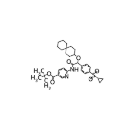 CC(C)(C)OC(=O)c1ccc(NC(=O)C(OC2CCC3(CCCCC3)CC2)c2ccc(S(=O)(=O)C3CC3)cc2)nc1